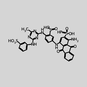 Cc1nc(Nc2cccc(S(=O)(=O)O)c2)nc(Nc2ccc(Nc3cc(S(=O)(O)=P)c(N)c4c3C(=O)c3ccccc3C4=O)cc2S(=O)O)n1